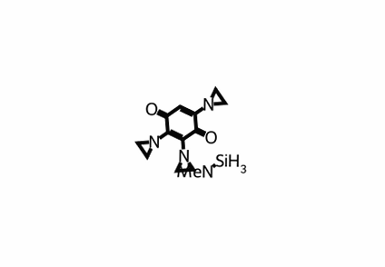 CN[SiH3].O=C1C=C(N2CC2)C(=O)C(N2CC2)=C1N1CC1